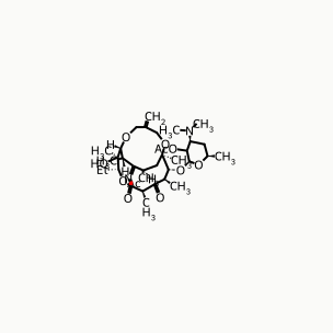 C=C1CO[C@@H]2[C@@H](C)/C(=N/C(C)=O)[C@H](C)C[C@@](C)(OC1)[C@H](O[C@@H]1O[C@H](C)C[C@H](N(C)C)C1OC(C)=O)[C@@H](C)C(=O)[C@@H](C)C(=O)O[C@H](CC)[C@@]2(C)O